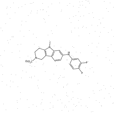 CCOC(=O)N1CCc2c(c3ccc(Nc4ccc(F)c(F)c4)cc3n2C)C1